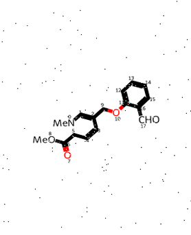 CN/C=C(\C=C/CC(=O)OC)COc1ccccc1C=O